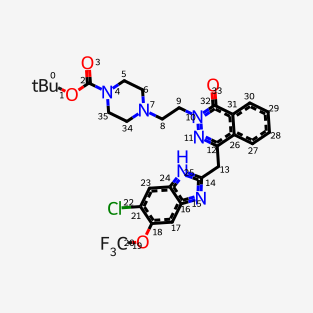 CC(C)(C)OC(=O)N1CCN(CCn2nc(Cc3nc4cc(OC(F)(F)F)c(Cl)cc4[nH]3)c3ccccc3c2=O)CC1